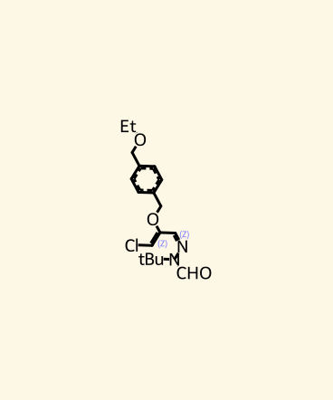 CCOCc1ccc(COC(/C=N\N(C=O)C(C)(C)C)=C\Cl)cc1